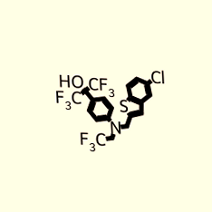 OC(c1ccc(N(Cc2cc3cc(Cl)ccc3s2)CC(F)(F)F)cc1)(C(F)(F)F)C(F)(F)F